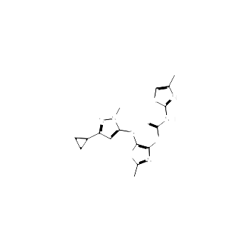 Cc1csc(NC(=O)Oc2nc(C)sc2Nc2cc(C3CC3)nn2C)n1